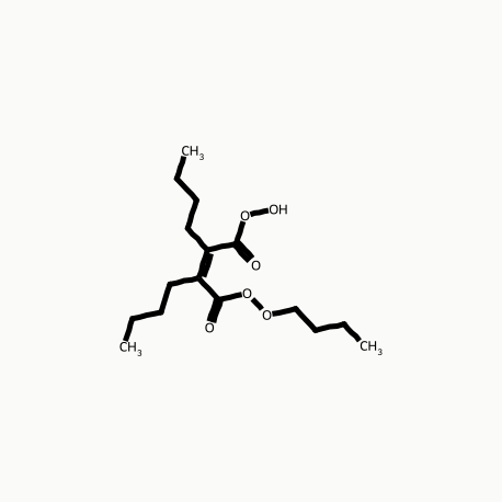 CCCCOOC(=O)/C(CCCC)=C(/CCCC)C(=O)OO